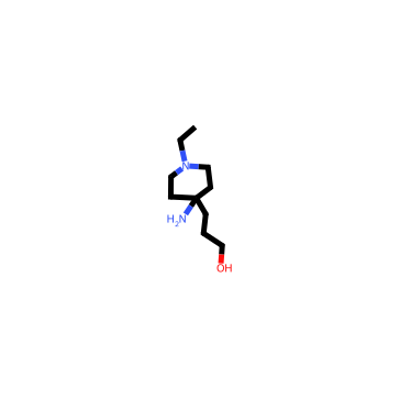 CCN1CCC(N)(CCCO)CC1